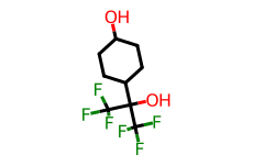 OC1CCC(C(O)(C(F)(F)F)C(F)(F)F)CC1